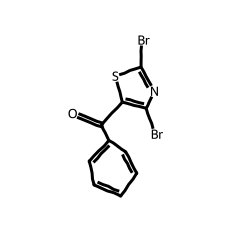 O=C(c1ccccc1)c1sc(Br)nc1Br